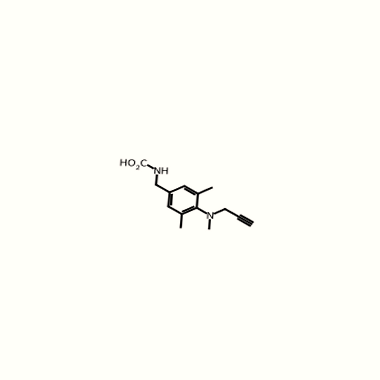 C#CCN(C)c1c(C)cc(CNC(=O)O)cc1C